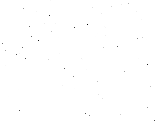 CC(C)CNc1cc2c(cc1C(F)(F)F)NC(=O)CC(c1ccnc(C#N)c1)=N2